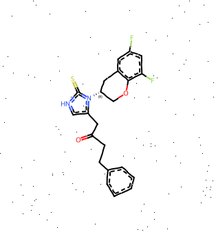 O=C(CCc1ccccc1)Cc1c[nH]c(=S)n1[C@H]1COc2c(F)cc(F)cc2C1